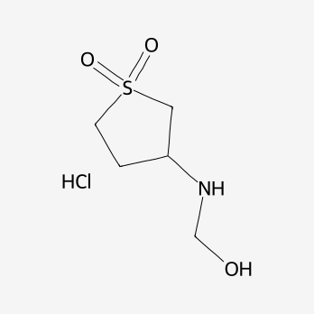 Cl.O=S1(=O)CCC(NCO)C1